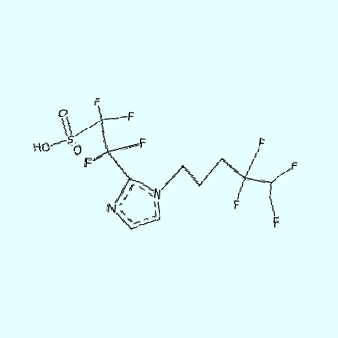 O=S(=O)(O)C(F)(F)C(F)(F)c1nccn1CCCC(F)(F)C(F)F